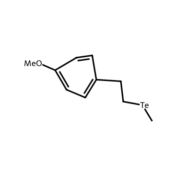 COc1ccc(CC[Te]C)cc1